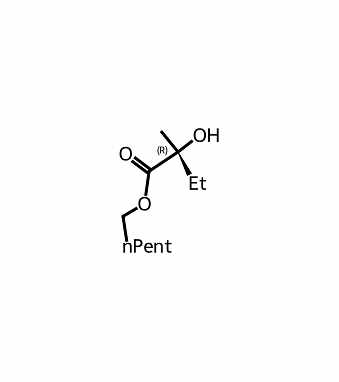 CCCCCCOC(=O)[C@](C)(O)CC